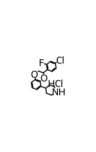 Cl.Fc1cc(Cl)ccc1C1COc2cccc(C3CCNCC3)c2O1